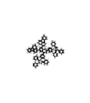 C1=CC(c2nc(-c3ccccc3)c(-c3ccccc3)n2-c2ccc(C3N=C(C4C=CC(n5c(-c6ccccc6)nc(-c6ccccc6)c5-c5ccccc5)=CC4)c4cc(-c5ccc6c7c(cccc57)-c5ccccc5-6)cc(-c5ccc6c7c(cccc57)-c5ccccc5-6)c4N3)cc2)CCC1